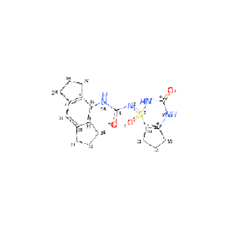 O=C(N=S1(=O)NC(=O)NC2=C1CCC2)Nc1c2c(cc3c1CCC3)CCC2